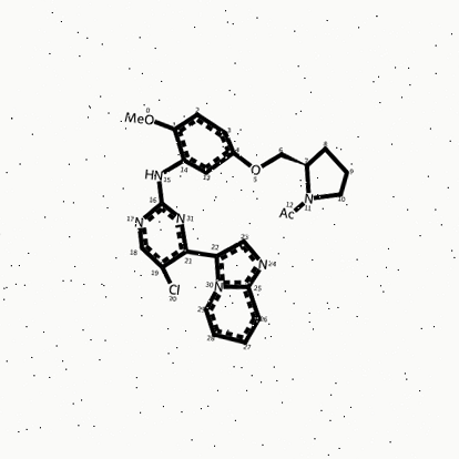 COc1ccc(OC[C@H]2CCCN2C(C)=O)cc1Nc1ncc(Cl)c(-c2cnc3ccccn23)n1